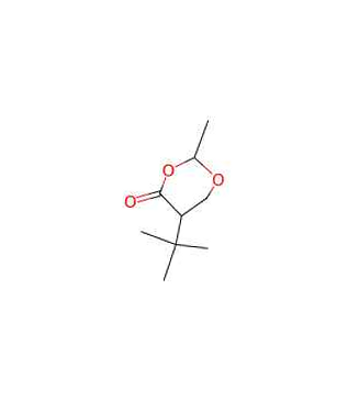 CC1OCC(C(C)(C)C)C(=O)O1